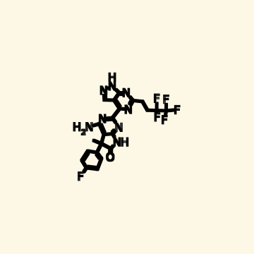 CC1(c2ccc(F)cc2)C(=O)Nc2nc(-c3nc(CCC(F)(F)C(F)(F)F)nc4[nH]ncc34)nc(N)c21